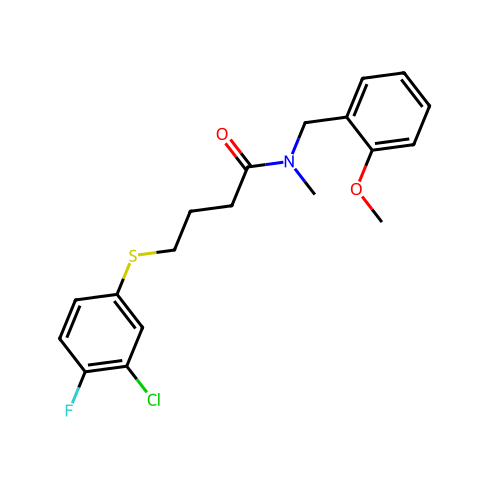 COc1ccccc1CN(C)C(=O)CCCSc1ccc(F)c(Cl)c1